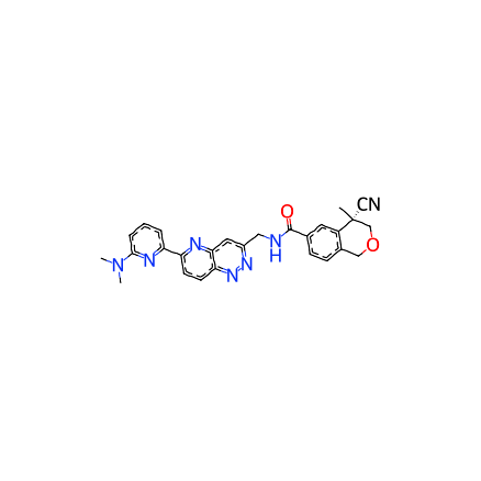 CN(C)c1cccc(-c2ccc3nnc(CNC(=O)c4ccc5c(c4)[C@](C)(C#N)COC5)cc3n2)n1